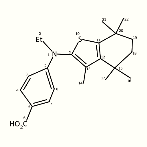 CCN(c1ccc(C(=O)O)cc1)c1sc2c(c1C)C(C)(C)CCC2(C)C